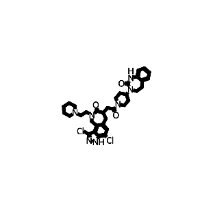 O=C(CC1Cc2cc(Cl)c3[nH]nc(Cl)c3c2CN(CCN2CCCCC2)C1=O)N1CCC(N2CCc3ccccc3NC2=O)CC1